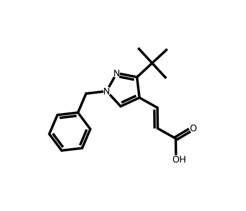 CC(C)(C)c1nn(Cc2ccccc2)cc1C=CC(=O)O